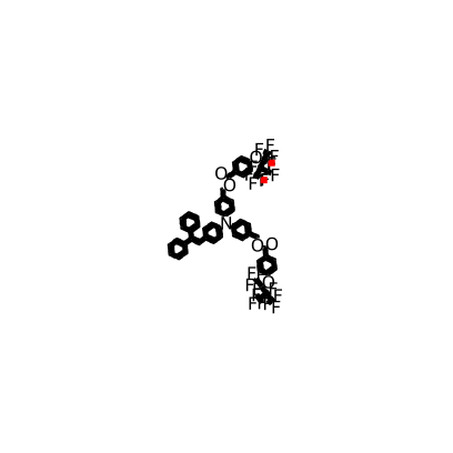 O=C(OCc1ccc(N(c2ccc(C=C(c3ccccc3)c3ccccc3)cc2)c2ccc(COC(=O)c3ccc(OC(F)(C(F)(F)F)C(F)(C(F)(F)F)C(F)(F)F)cc3)cc2)cc1)c1ccc(OC(F)(C(F)(F)F)C(F)(C(F)(F)F)C(F)(F)F)cc1